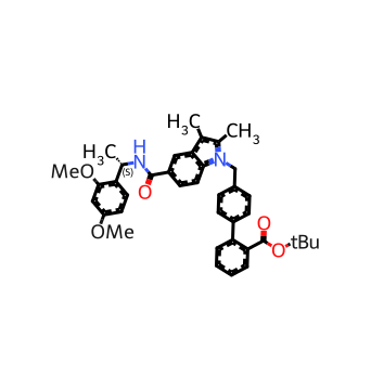 COc1ccc([C@H](C)NC(=O)c2ccc3c(c2)c(C)c(C)n3Cc2ccc(-c3ccccc3C(=O)OC(C)(C)C)cc2)c(OC)c1